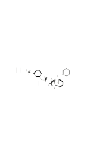 COc1cccc(CC(=O)Nc2nc3cccc(OC4CCCCC4)n3n2)c1